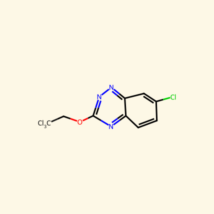 Clc1ccc2nc(OCC(Cl)(Cl)Cl)nnc2c1